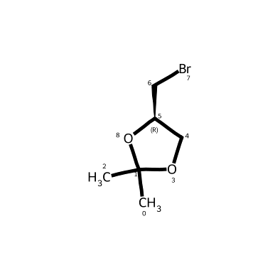 CC1(C)OC[C@H](CBr)O1